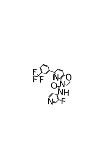 O=C(Nc1ccncc1F)N1CCOc2ccc(-c3cccc(C(F)(F)F)c3)nc21